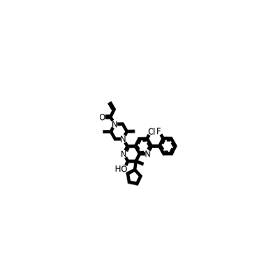 C=CC(=O)N1CC(C)N(C2=NC(O)C(C)(C3CCCC3)c3nc(-c4ccccc4F)c(Cl)cc32)CC1C